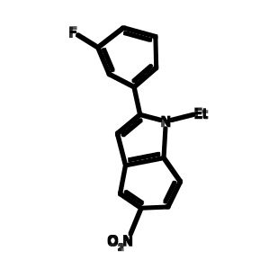 CCn1c(-c2cccc(F)c2)cc2cc([N+](=O)[O-])ccc21